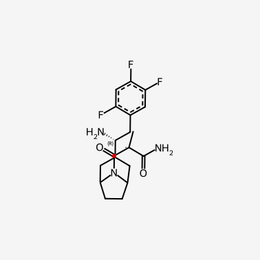 C[C](C(N)=O)C(=O)N1C2CCC1CC([C@H](N)Cc1cc(F)c(F)cc1F)C2